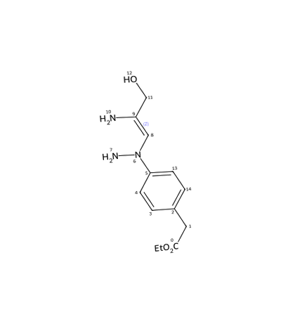 CCOC(=O)Cc1ccc(N(N)/C=C(\N)CO)cc1